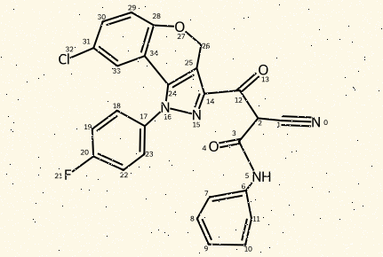 N#CC(C(=O)Nc1ccccc1)C(=O)c1nn(-c2ccc(F)cc2)c2c1COc1ccc(Cl)cc1-2